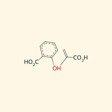 C=C(C)C(=O)O.O=C(O)c1ccccc1O